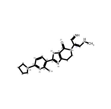 CN/C=C(\C=N)N1CCc2nc(-c3ccc(N4CCCC4)nc3F)sc2C1=O